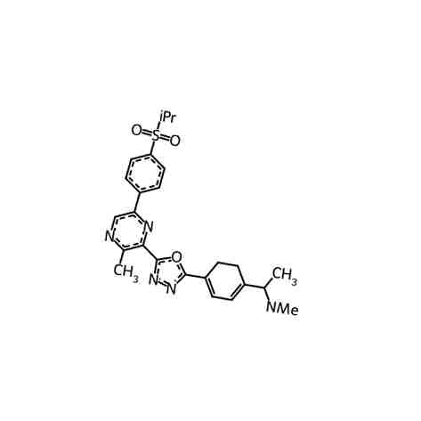 CNC(C)C1=CC=C(c2nnc(-c3nc(-c4ccc(S(=O)(=O)C(C)C)cc4)cnc3C)o2)CC1